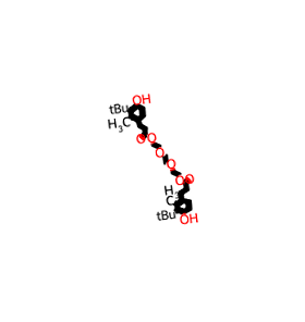 Cc1c(CCC(=O)OCCOCCOCCOC(=O)CCc2ccc(O)c(C(C)(C)C)c2C)ccc(O)c1C(C)(C)C